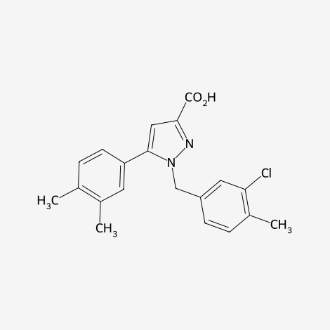 Cc1ccc(-c2cc(C(=O)O)nn2Cc2ccc(C)c(Cl)c2)cc1C